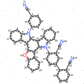 N#Cc1cccc(-n2c3ccccc3c3c4oc5ccccc5c4c4c(c5ccccc5n4-c4ccc(-c5ccccc5C#N)cc4C#N)c32)c1